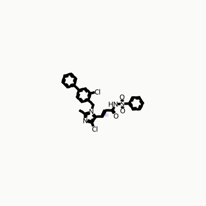 Cc1nc(Cl)c(/C=C/C(=O)NS(=O)(=O)c2ccccc2)n1Cc1ccc(-c2ccccc2)cc1Cl